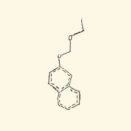 CCOCOc1ccc2ccccc2c1